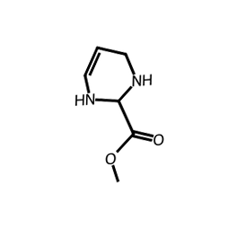 COC(=O)C1NC=CCN1